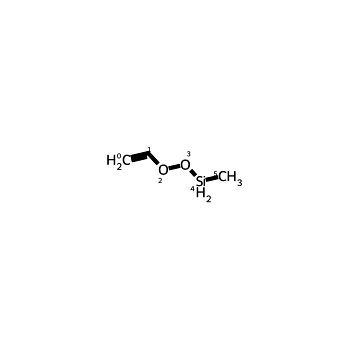 C=COO[SiH2]C